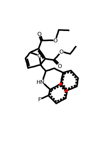 CCOC(=O)C1=C(C(=O)OCC)C2(C(Cc3ccccc3)Nc3c(F)cccc3F)C=CC1O2